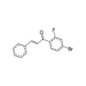 O=C(C=Cc1ccccc1)c1ccc(Br)cc1F